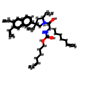 C=CCCCCC[C@H](NC(=O)OCCCCC=C)C(=O)N1C[C@](OC)(c2ccc3cc(OC)c(C=C)cc3c2)C[C@H]1C(=O)O